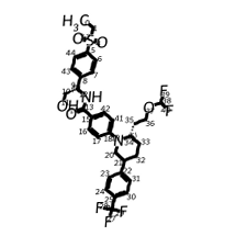 CCS(=O)(=O)c1ccc([C@H](CO)NC(=O)c2ccc(N3CC(c4ccc(C(F)(F)F)cc4)CC[C@H]3CCOC(F)F)cc2)cc1